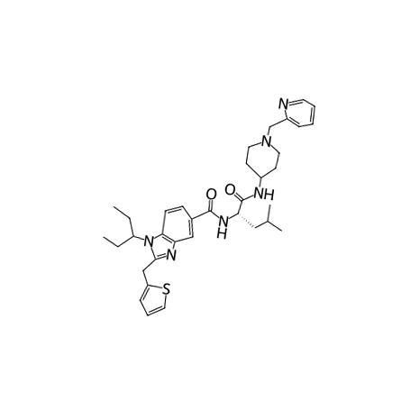 CCC(CC)n1c(Cc2cccs2)nc2cc(C(=O)N[C@@H](CC(C)C)C(=O)NC3CCN(Cc4ccccn4)CC3)ccc21